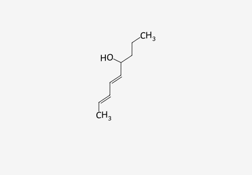 CC=CC=CC(O)CCC